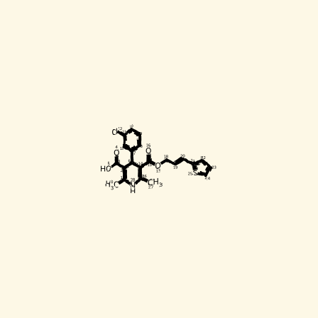 CC1=C(C(=O)O)C(c2cccc(Cl)c2)C(C(=O)OC/C=C/c2cccs2)=C(C)N1